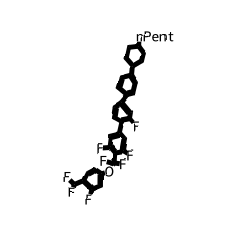 CCCCCC1CCC(c2ccc(-c3ccc(-c4cc(F)c(C(F)(F)Oc5ccc(C(F)F)c(F)c5)c(F)c4)c(F)c3)cc2)CC1